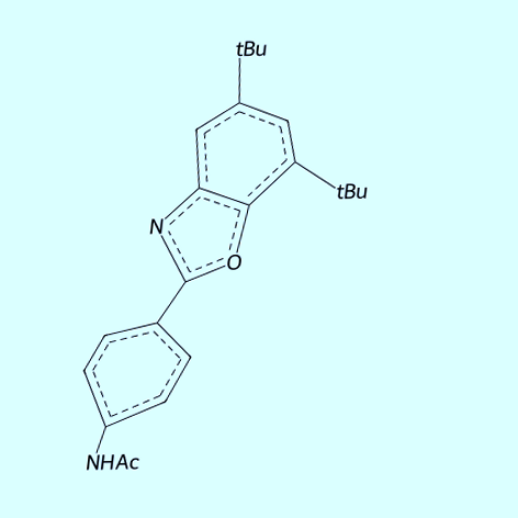 CC(=O)Nc1ccc(-c2nc3cc(C(C)(C)C)cc(C(C)(C)C)c3o2)cc1